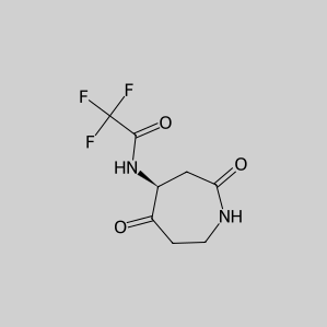 O=C1C[C@H](NC(=O)C(F)(F)F)C(=O)CCN1